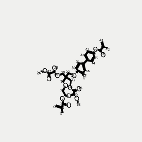 C=C(C)C(=O)OCCOCC(COC(=O)C(=O)OC)(COC(=O)C(=O)OC)COc1ccc(-c2ccc(OC(=O)C(=C)C)cc2)cc1F